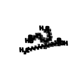 CCC/C=C/CC/C=C/CC/C=C/CC/C=C/CCC(=O)O.CCCCC/C=C\C/C=C\C/C=C\C/C=C\CCCC(=O)O